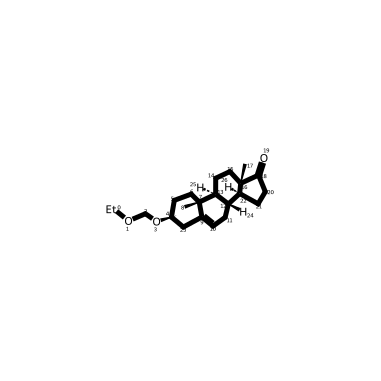 CCOCO[C@H]1CC[C@@]2(C)C(=CC[C@@H]3[C@@H]2CC[C@]2(C)C(=O)CC[C@@H]32)C1